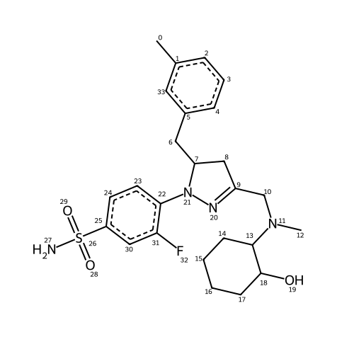 Cc1cccc(CC2CC(CN(C)C3CCCCC3O)=NN2c2ccc(S(N)(=O)=O)cc2F)c1